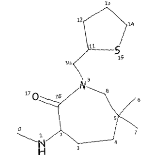 CNC1CCC(C)(C)CN(CC2CCCS2)C1=O